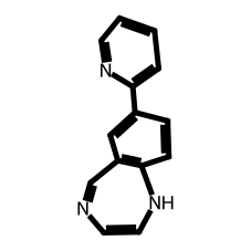 C1=CNc2ccc(-c3ccccn3)cc2C=N1